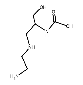 NCCNCC(CO)NC(=O)O